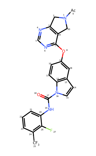 CC(=O)N1Cc2ncnc(Oc3ccc4c(ccn4C(=O)Nc4cccc(C(F)(F)F)c4F)c3)c2C1